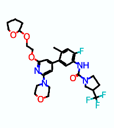 Cc1cc(F)c(NC(=O)N2CCC(C(F)(F)F)C2)cc1-c1cc(OCCOC2CCCCO2)nc(N2CCOCC2)c1